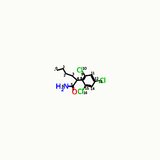 [CH2]CCCC(C(N)=O)c1c(Cl)cc(Cl)cc1Cl